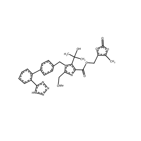 COCc1nc(C(=O)OCc2oc(=O)oc2C)c(C(C)(C)O)n1Cc1ccc(-c2ccccc2-c2nnn[nH]2)cc1